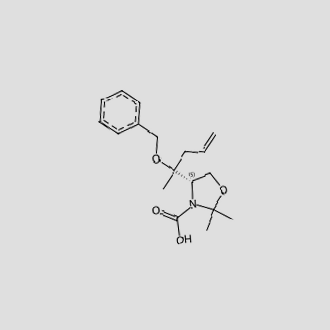 C=CCC(C)(OCc1ccccc1)[C@@H]1COC(C)(C)N1C(=O)O